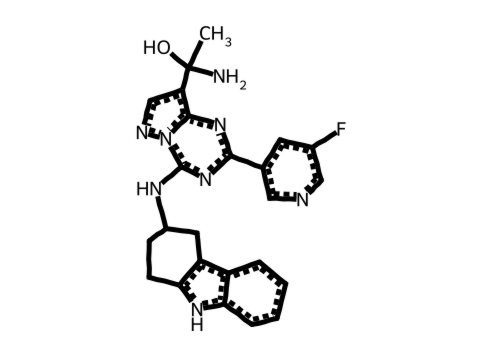 CC(N)(O)c1cnn2c(NC3CCc4[nH]c5ccccc5c4C3)nc(-c3cncc(F)c3)nc12